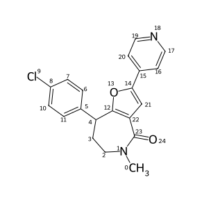 CN1CCC(c2ccc(Cl)cc2)c2oc(-c3ccncc3)cc2C1=O